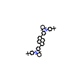 CC(C)(C)c1ccc(N2c3ccc(-c4ccc5ccc6c(-c7ccc8c(c7)C7(C)CCCCC7(C)N8c7ccc(C(C)(C)C)cc7)ccc7ccc4c5c76)cc3C3(C)CCCCC23C)cc1